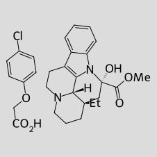 CC[C@]12CCCN3CCc4c(n(c5ccccc45)[C@@](O)(C(=O)OC)C1)[C@@H]32.O=C(O)COc1ccc(Cl)cc1